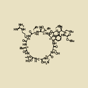 CC[C@H](C)[C@@H]1NC(=O)[C@@H](CCCNC(=N)N)NC(=O)[C@H](CC(C)C)NC(=O)[C@H]([C@H](O)C(C)C)NC(=O)[C@@H](NC(=O)[C@H](CC(C)(C)C)NC(=O)[C@@H](CC(C)(C)C)NC(=O)OC(C)(C)C)[C@@H](c2ccccc2)NC(=O)C(CO)NC(=O)[C@H](CN)NC(=O)CNC(=O)[C@H]([C@H](C)O)NC1=O